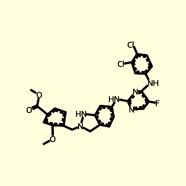 COC(=O)c1ccc(CN2Cc3ccc(Nc4ncc(F)c(Nc5ccc(Cl)c(Cl)c5)n4)cc3N2)c(OC)c1